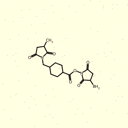 BC1CC(=O)N(OC(=O)C2CCC(CN3C(=O)CC(C)C3=O)CC2)C1=O